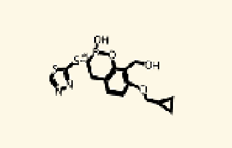 OCc1c(OCC2CC2)ccc2c1OB(O)[C@@H](Sc1nncs1)C2